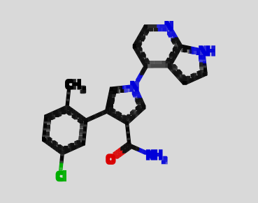 Cc1ccc(Cl)cc1-c1cn(-c2ccnc3[nH]ccc23)cc1C(N)=O